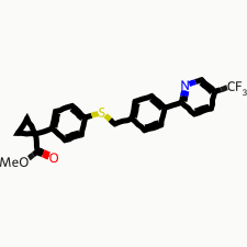 COC(=O)C1(c2ccc(SCc3ccc(-c4ccc(C(F)(F)F)cn4)cc3)cc2)CC1